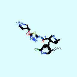 COc1cnc(Cl)cc1-c1cc(C)ncc1C(=O)Nc1nnc(OCC2CCNC2)s1